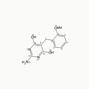 COc1ccccc1Cc1c(O)nc(N)nc1O